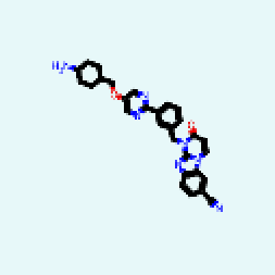 N#Cc1ccc2nc3n(Cc4cccc(-c5ncc(OCC6CCC(N)CC6)cn5)c4)c(=O)ccn3c2c1